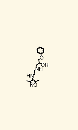 Cc1noc(C)c1NCCNCC(O)COc1ccccc1